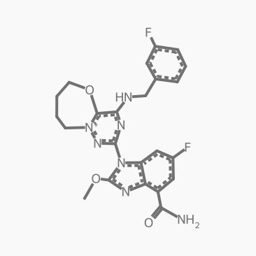 COc1nc2c(C(N)=O)cc(F)cc2n1-c1nc(NCc2cccc(F)c2)c2[n+](n1)CCCCO2